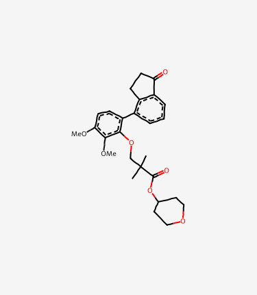 COc1ccc(-c2cccc3c2CCC3=O)c(OCC(C)(C)C(=O)OC2CCOCC2)c1OC